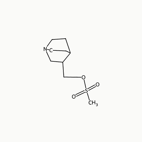 CS(=O)(=O)OCC1CN2CCC1CC2